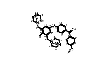 COc1ccc(C(=O)c2ccc(Oc3cc(C[N+]45CCN(CC4)CC5)c(C)c(C[N+]45CCN(CC4)CC5)c3)cc2)cc1